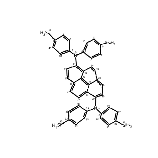 [SiH3]c1ccc(N(c2ccc([SiH3])cc2)c2ccc3ccc4c(N(c5ccc([SiH3])cc5)c5ccc([SiH3])cc5)ccc5ccc2c3c54)cc1